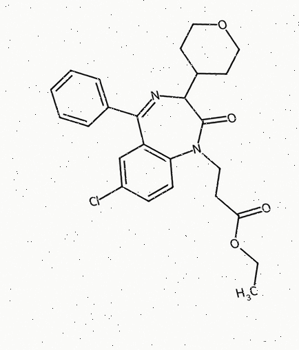 CCOC(=O)CCN1C(=O)C(C2CCOCC2)N=C(c2ccccc2)c2cc(Cl)ccc21